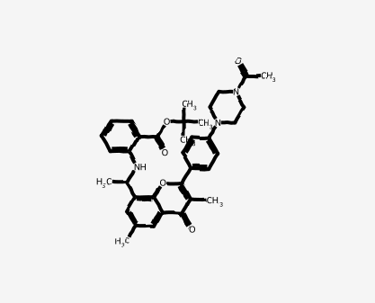 CC(=O)N1CCN(c2ccc(-c3oc4c(C(C)Nc5ccccc5C(=O)OC(C)(C)C)cc(C)cc4c(=O)c3C)cc2)CC1